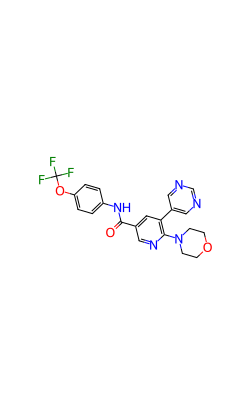 O=C(Nc1ccc(OC(F)(F)F)cc1)c1cnc(N2CCOCC2)c(-c2cncnc2)c1